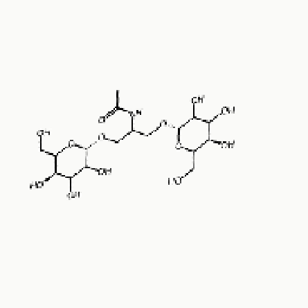 CC(=O)NC(CO[C@H]1OC(CO)[C@H](O)C(O)C1O)CO[C@H]1OC(CO)[C@H](O)C(O)C1O